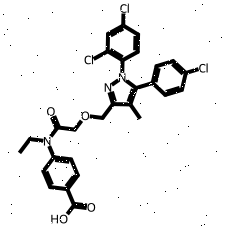 CCN(C(=O)COCc1nn(-c2ccc(Cl)cc2Cl)c(-c2ccc(Cl)cc2)c1C)c1ccc(C(=O)O)cc1